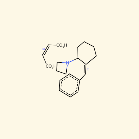 C(=C1\CCCCC1N1CCC1)/c1ccccc1.O=C(O)/C=C\C(=O)O